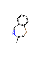 CC1=CSc2ccccc2C=N1